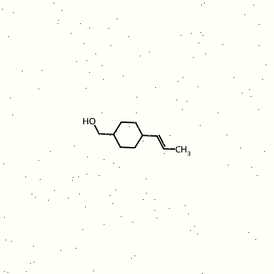 CC=CC1CCC(CO)CC1